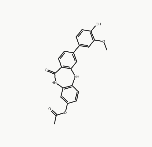 COc1cc(-c2ccc3c(c2)Nc2ccc(OC(C)=O)cc2NC3=O)ccc1O